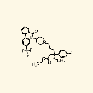 CCOC(=O)CC(CC)(CCCN1CCC(NC(=O)c2ccccc2-c2ccc(C(F)(F)F)cc2)CC1)c1ccc(F)cc1